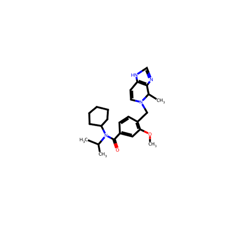 COc1cc(C(=O)N(C(C)C)C2CCCCC2)ccc1CN1C=Cc2[nH]cnc2C1C